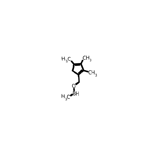 CBOCC1=C(C)C(C)=C(C)C1